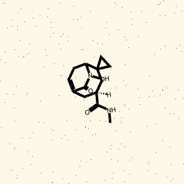 CNC(=O)[C@H]1CC2=CCC(N(O)C2=O)C2(CC2)C1